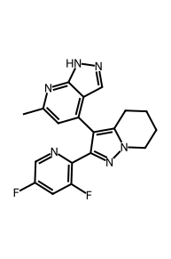 Cc1cc(-c2c(-c3ncc(F)cc3F)nn3c2CCCC3)c2cn[nH]c2n1